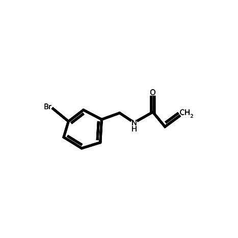 C=CC(=O)NCc1cccc(Br)c1